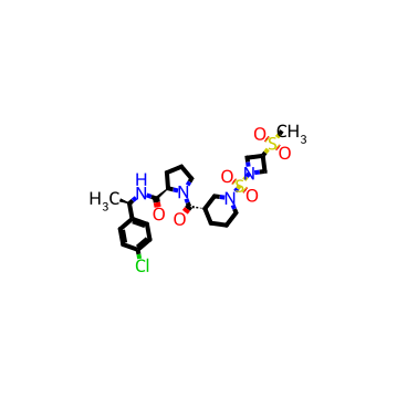 C[C@@H](NC(=O)[C@H]1CCCN1C(=O)[C@H]1CCCN(S(=O)(=O)N2CC(S(C)(=O)=O)C2)C1)c1ccc(Cl)cc1